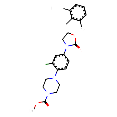 CC(C)(C)OC(=O)N1CCN(c2ccc(N3C[C@H](Cc4c([N+](=O)[O-])cccc4S(=O)(=O)O)OC3=O)cc2F)CC1